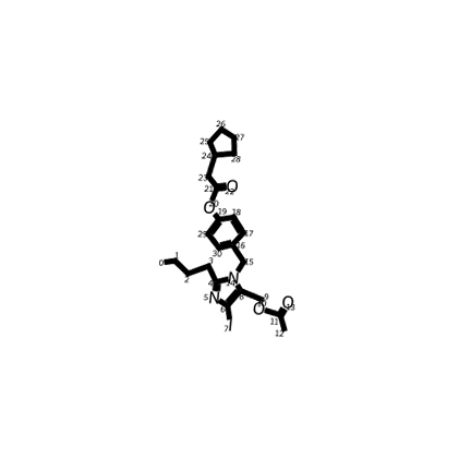 CCCCc1nc(I)c(COC(C)=O)n1Cc1ccc(OC(=O)CC2CCCC2)cc1